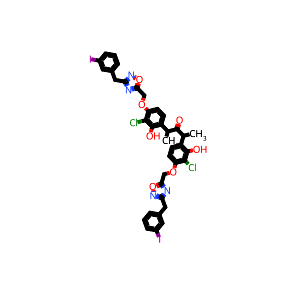 CC(C(=O)C(C)c1ccc(OCc2nc(Cc3cccc(I)c3)no2)c(Cl)c1O)c1ccc(OCc2nc(Cc3cccc(I)c3)no2)c(Cl)c1O